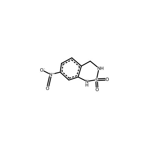 O=[N+]([O-])c1ccc2c(c1)NS(=O)(=O)NC2